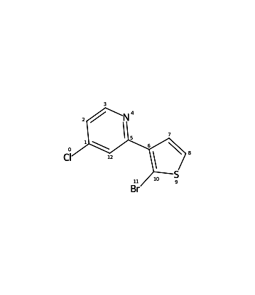 Clc1ccnc(-c2ccsc2Br)c1